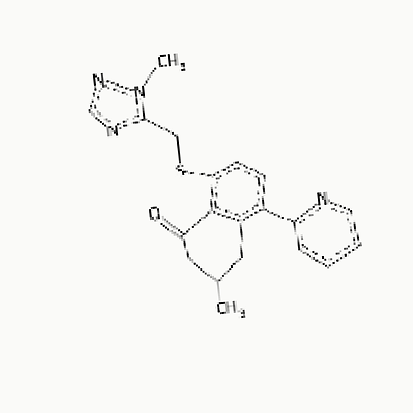 CC1CC(=O)c2c(SCc3ncnn3C)ccc(-c3ccccn3)c2C1